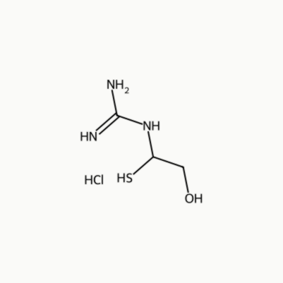 Cl.N=C(N)NC(S)CO